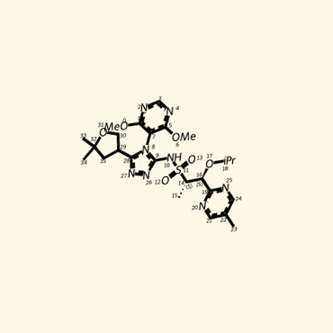 COc1ncnc(OC)c1-n1c(NS(=O)(=O)[C@@H](C)[C@@H](OC(C)C)c2ncc(C)cn2)nnc1C1COC(C)(C)C1